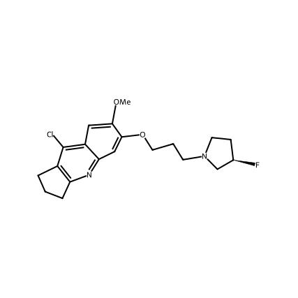 COc1cc2c(Cl)c3c(nc2cc1OCCCN1CC[C@@H](F)C1)CCC3